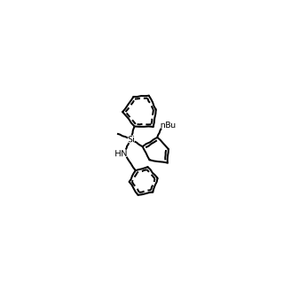 CCCCC1=C([Si](C)(Nc2ccccc2)c2ccccc2)CC=C1